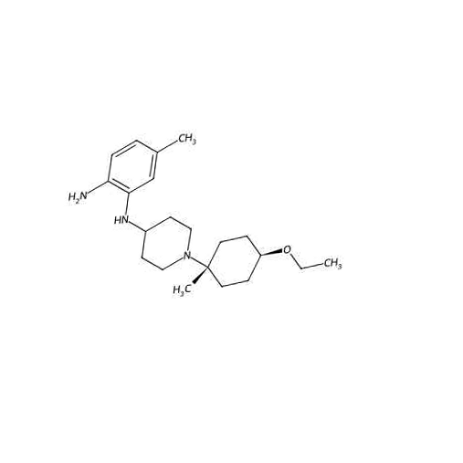 CCO[C@H]1CC[C@](C)(N2CCC(Nc3cc(C)ccc3N)CC2)CC1